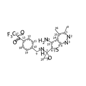 Cc1nnc2sc(C3(NCc4ccc(S(=O)(=O)C(F)(F)F)cc4)CO3)c(N)c2c1C